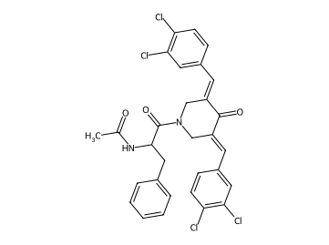 CC(=O)NC(Cc1ccccc1)C(=O)N1C/C(=C\c2ccc(Cl)c(Cl)c2)C(=O)/C(=C/c2ccc(Cl)c(Cl)c2)C1